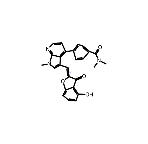 CN(C)C(=O)c1ccc(-c2ccnc3c2c(/C=C2\Oc4cccc(O)c4C2=O)cn3C)cc1